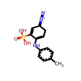 Cc1ccc(NC2=CCC(=[N+]=[N-])C=C2P(=O)(O)O)cc1